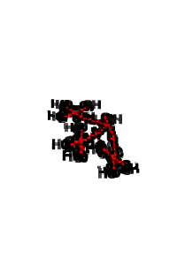 O=C(O)C1=CC(OCCCCc2cn(CCCNC(=O)c3cc(OCCCS(=O)(=O)O)c(OCCCS(=O)(=O)O)c(OCCCS(=O)(=O)O)c3)nn2)=C(OCCCCc2cn(CCCNC(=O)c3cc(OCCCS(=O)(=O)O)c(OCCCS(=O)(=O)O)c(OCCCS(=O)(=O)O)c3)nn2)C(OCCCCc2cn(CCCNC(=O)c3cc(OCCCS(=O)(=O)O)c(OCCCS(=O)(=O)O)c(OCCCS(=O)(=O)O)c3)nn2)C1